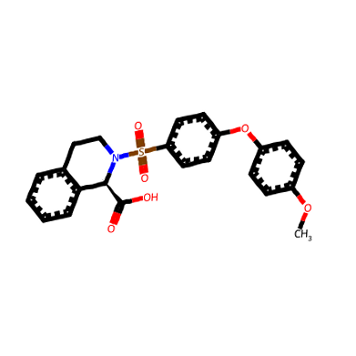 COc1ccc(Oc2ccc(S(=O)(=O)N3CCc4ccccc4[C@@H]3C(=O)O)cc2)cc1